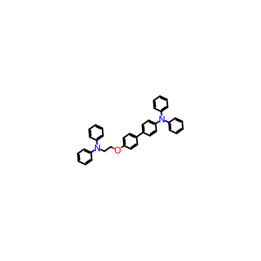 c1ccc(N(CCOc2ccc(-c3ccc(N(c4ccccc4)c4ccccc4)cc3)cc2)c2ccccc2)cc1